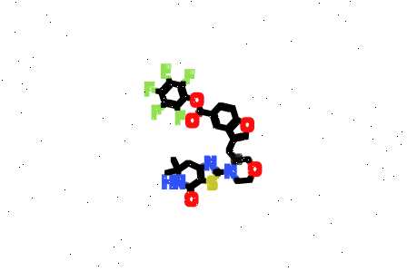 CC1(C)Cc2nc(N3CCOC[C@@H]3Cc3coc4ccc(C(=O)Oc5c(F)c(F)c(F)c(F)c5F)cc34)sc2C(=O)N1